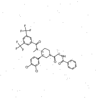 C[C@H](NC(=O)c1ccccc1)C(=O)N1CC[C@@H](N(C)C(=O)c2cc(C(F)(F)F)cc(C(F)(F)F)c2)[C@H](c2ccc(Cl)c(Cl)c2)C1